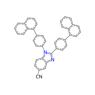 N#Cc1ccc2c(c1)nc(-c1ccc(-c3cccc4ccccc34)cc1)n2-c1ccc(-c2cccc3ccccc23)cc1